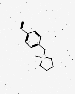 C=Cc1ccc(C[N+]2(C)CCCC2)cc1